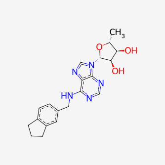 C[C@H]1O[C@@H](n2cnc3c(NCc4ccc5c(c4)CCC5)ncnc32)[C@H](O)[C@@H]1O